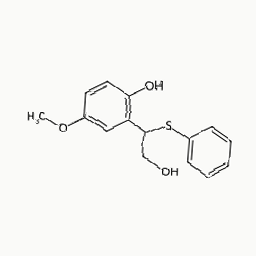 COc1ccc(O)c(C(CO)Sc2ccccc2)c1